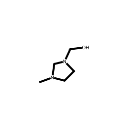 CN1CCN([CH]O)C1